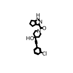 O=C(c1n[nH]c2c1CCC2)N1CCC(O)(C#Cc2cccc(Cl)c2)CC1